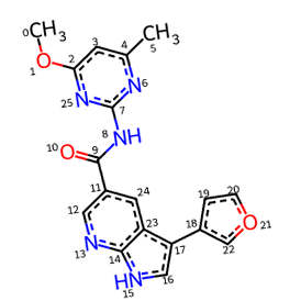 COc1cc(C)nc(NC(=O)c2cnc3[nH]cc(-c4ccoc4)c3c2)n1